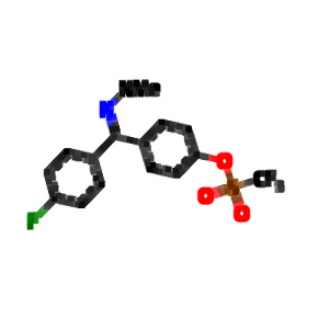 CNN=C(c1ccc(F)cc1)c1ccc(OS(=O)(=O)C(F)(F)F)cc1